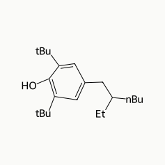 CCCCC(CC)Cc1cc(C(C)(C)C)c(O)c(C(C)(C)C)c1